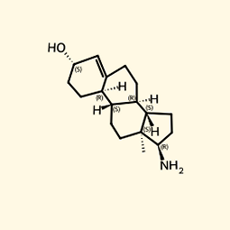 C[C@]12CC[C@H]3[C@@H](CCC4=C[C@@H](O)CC[C@@H]43)[C@@H]1CC[C@H]2N